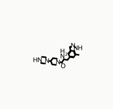 Cc1cc(CC(N)C(=O)N2CCC(N3CCNCC3)CC2)cc2cn[nH]c12